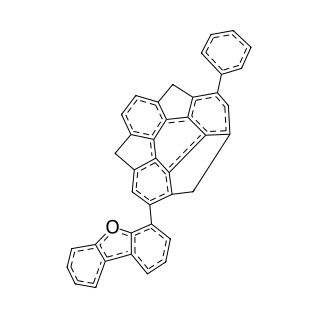 c1ccc(-c2cc3c4c5c2Cc2ccc6c(c25)c2c(cc(-c5cccc7c5oc5ccccc57)c(c24)C3)C6)cc1